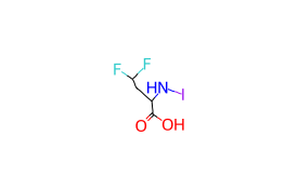 O=C(O)C(CC(F)F)NI